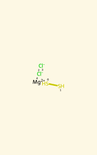 SS.[Cl-].[Cl-].[Mg+2]